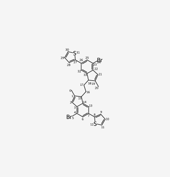 CC1=Cc2c(Br)cc(-c3cccs3)cc2C1CCC1C(C)=Cc2c(Br)cc(-c3cccs3)cc21